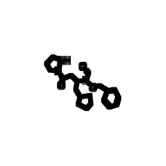 O=CN(OCc1ccccc1)C(CC(=O)N1CCCN1)CC1CCCC1